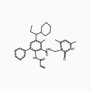 C=CC(=O)Nc1c(-c2ccccc2)cc(N(CC)C2CCCCC2)c(C)c1C(=O)NCc1c(C)cc(C)[nH]c1=O